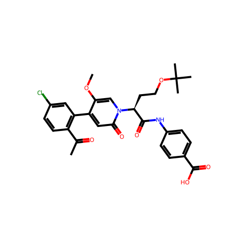 COc1cn([C@@H](CCOC(C)(C)C)C(=O)Nc2ccc(C(=O)O)cc2)c(=O)cc1-c1cc(Cl)ccc1C(C)=O